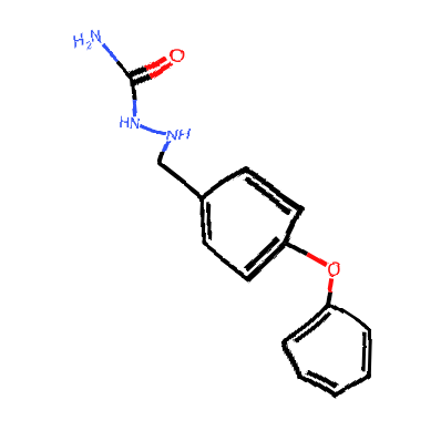 NC(=O)NNCc1ccc(Oc2ccccc2)cc1